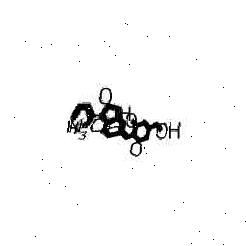 C[C@]12CCC3=CC4=C(CC(CO)CC4=O)O[C@H]3[C@@H]1CC(=O)[C@@H]2c1cccnc1